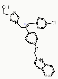 OCc1cn(C/C(=C/c2ccc(Cl)cc2)c2ccc(OCc3ccc4ccccc4n3)cc2)cn1